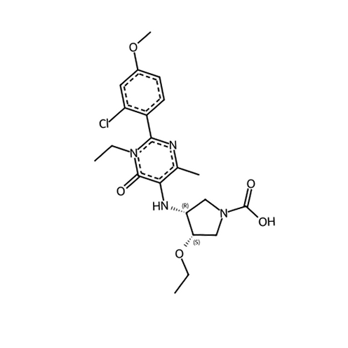 CCO[C@H]1CN(C(=O)O)C[C@H]1Nc1c(C)nc(-c2ccc(OC)cc2Cl)n(CC)c1=O